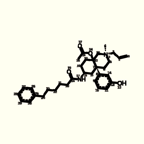 C=CC[N@@+]1(C)CC[C@@]2(c3cccc(O)c3)C[C@@H](NC(=O)CCCCCc3ccccc3)CCC2(OC(C)=O)C1